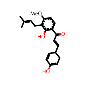 COc1ccc(C(=O)C=CC2C=CC(O)=CC2)c(O)c1CC=C(C)C